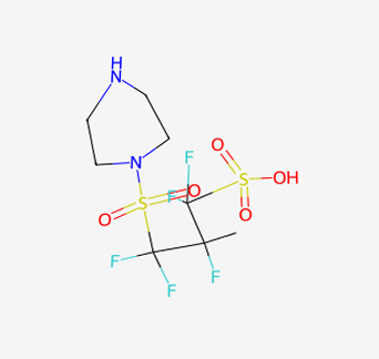 CC(F)(C(F)(F)S(=O)(=O)O)C(F)(F)S(=O)(=O)N1CCNCC1